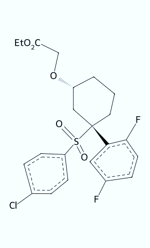 CCOC(=O)CO[C@@H]1CCC[C@](c2cc(F)ccc2F)(S(=O)(=O)c2ccc(Cl)cc2)C1